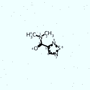 CN(C)C(=O)c1cnsn1